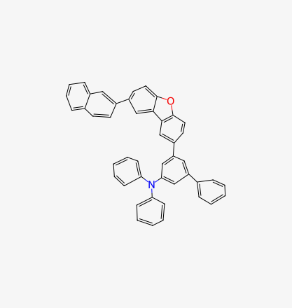 c1ccc(-c2cc(-c3ccc4oc5ccc(-c6ccc7ccccc7c6)cc5c4c3)cc(N(c3ccccc3)c3ccccc3)c2)cc1